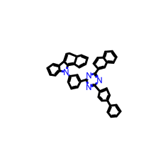 C1=CC2=c3c(c4ccccc4n3-c3cccc(-c4nc(-c5ccc(-c6ccccc6)cc5)nc(-c5ccc6ccccc6c5)n4)c3)=CCC2C=C1